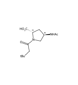 CC(=O)N[C@@H]1C[C@@H](C(=O)O)N(C(=O)CC(C)(C)C)C1